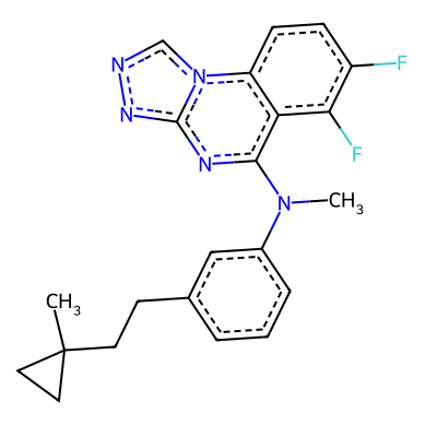 CN(c1cccc(CCC2(C)CC2)c1)c1nc2nncn2c2ccc(F)c(F)c12